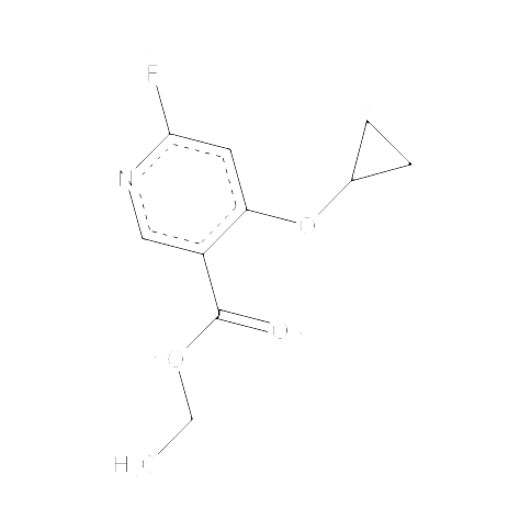 CCOC(=O)c1cnc(F)cc1OC1CC1